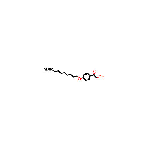 CCCCCCCCCCCCCCCCCCOc1ccc(C(=O)CO)cc1